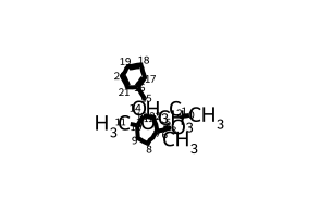 CC(C)OC(C)(C)C12CCC(C)(O1)C(OCc1ccccc1)C2